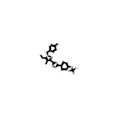 CCc1c(C)c(-c2nc(-c3ccc(OC(F)(F)F)cc3)no2)nn1Cc1ccc(C)cc1